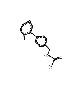 CCC(=O)NCc1ccc(-c2ccccc2C)cc1